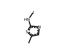 Cc1cnc(NI)s1